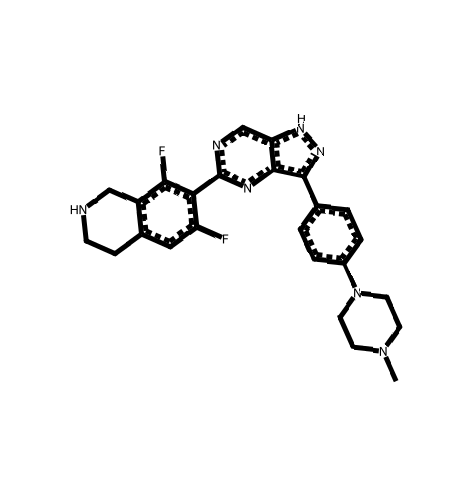 CN1CCN(c2ccc(-c3n[nH]c4cnc(-c5c(F)cc6c(c5F)CNCC6)nc34)cc2)CC1